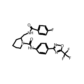 O=C(NCC1CCCCN1C(=O)Nc1ccc(-c2noc(C(F)(F)F)n2)cc1)c1ccc(F)cc1